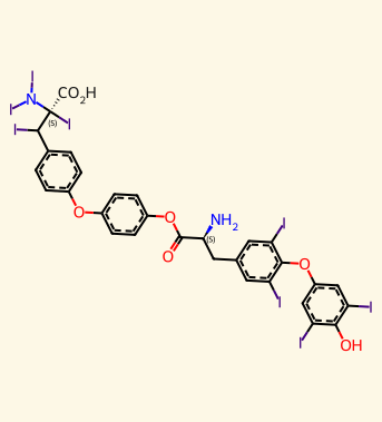 N[C@@H](Cc1cc(I)c(Oc2cc(I)c(O)c(I)c2)c(I)c1)C(=O)Oc1ccc(Oc2ccc(C(I)[C@@](I)(C(=O)O)N(I)I)cc2)cc1